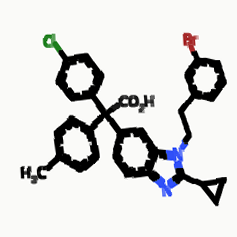 Cc1ccc(C(C(=O)O)(c2ccc(Cl)cc2)c2ccc3nc(C4CC4)n(CCc4cccc(Br)c4)c3c2)cc1